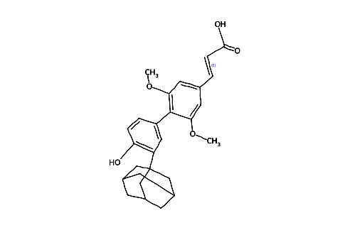 COc1cc(/C=C/C(=O)O)cc(OC)c1-c1ccc(O)c(C23CC4CC(CC(C4)C2)C3)c1